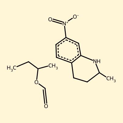 CC1CCc2ccc([N+](=O)[O-])cc2N1.CCC(C)OC=O